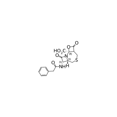 O=C(Cc1ccccc1)N[C@@H]1C(=O)N2[C@@H]1CSCC1C(=O)O[C@@]12C(=O)O